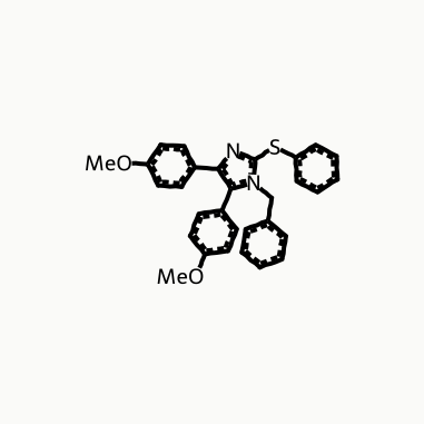 COc1ccc(-c2nc(Sc3ccccc3)n(Cc3ccccc3)c2-c2ccc(OC)cc2)cc1